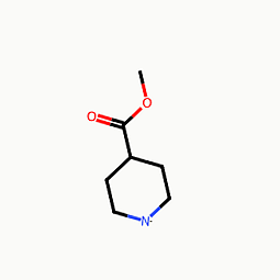 COC(=O)C1CC[N]CC1